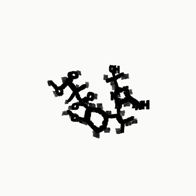 COC(=O)C(C)(C)S(=O)(=O)c1cc(C(=C(C)C)n2nc(C(C)(C)O)sc2=N)ccc1OC